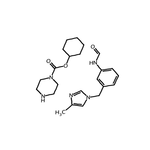 Cc1cn(Cc2cccc(NC=O)c2)cn1.O=C(OC1CCCCC1)N1CCNCC1